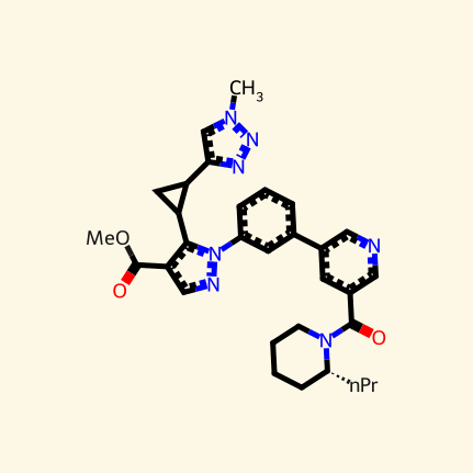 CCC[C@@H]1CCCCN1C(=O)c1cncc(-c2cccc(-n3ncc(C(=O)OC)c3C3CC3c3cn(C)nn3)c2)c1